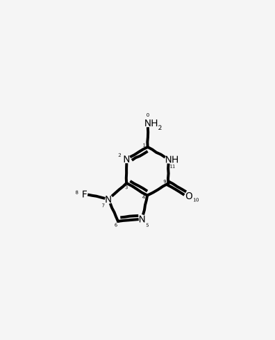 Nc1nc2c(ncn2F)c(=O)[nH]1